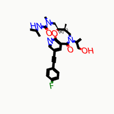 CC(C)NC(=O)N(C)C[C@@H]1Oc2ncc(C#Cc3ccc(F)cc3)cc2C(=O)N(C(C)CO)C[C@@H]1C